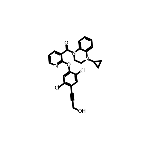 O=C(c1cccnc1Oc1cc(Cl)c(C#CCO)cc1Cl)N1CCN(C2CC2)c2ccccc21